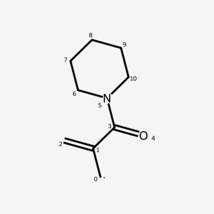 [CH2]C(=C)C(=O)N1CCCCC1